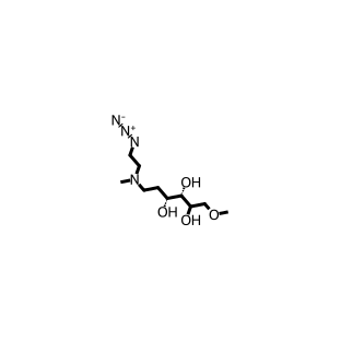 COCC(O)[C@@H](O)[C@H](O)CCN(C)CCN=[N+]=[N-]